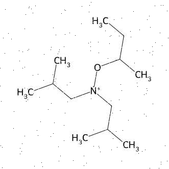 CCC(C)O[N+](CC(C)C)CC(C)C